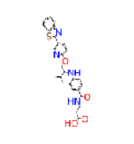 CC(C)C(COc1ccc(-c2nc3ccccc3s2)cn1)Nc1ccc(C(=O)NCCC(=O)O)cc1